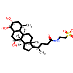 C[C@@H]1C[C@@H](O)[C@H](O)C2C[C@H](O)[C@@H]3[C@H](CC[C@]4(C)[C@@H]([C@H](C)CCC(=O)NCCS(=O)(=O)O)CC[C@@H]34)C21